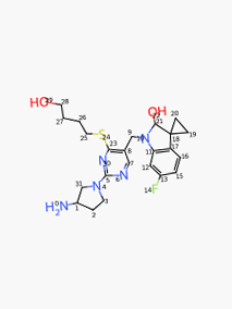 NC1CCN(c2ncc(CN3c4cc(F)ccc4C4(CC4)C3O)c(SCCCCO)n2)C1